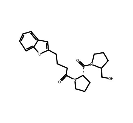 O=C([C@@H]1CCCN1C(=O)CCCc1cc2ccccc2o1)N1CCC[C@H]1CO